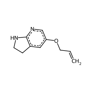 C=CCOc1cnc2c(c1)CCN2